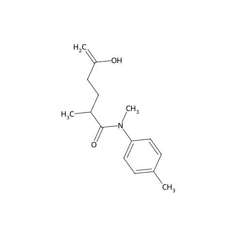 C=C(O)CCC(C)C(=O)N(C)c1ccc(C)cc1